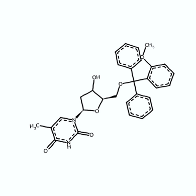 COc1ccccc1C(OC[C@H]1O[C@@H](n2cc(C)c(=O)[nH]c2=O)CC1O)(c1ccccc1)c1ccccc1